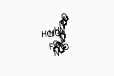 Cl.O=c1ccc2ncc(F)c3c2n1[C@H](CN1CC[C@H](NCc2cc4c(cn2)OCC4)[C@H](O)C1)CO3